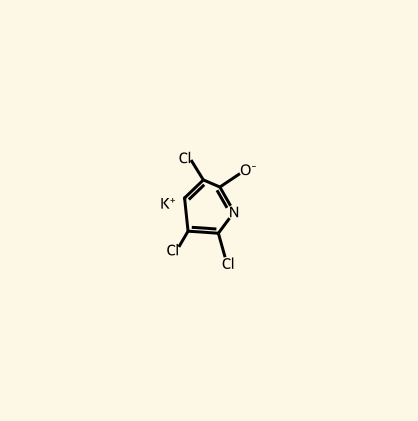 [K+].[O-]c1nc(Cl)c(Cl)cc1Cl